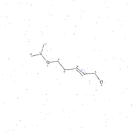 CC(C)OCC/C=C/CCl